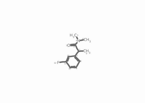 CC(C(=O)N(C)C)c1cccc(F)c1